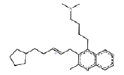 Cc1nc2ccccc2c(CCCCN(C)C)c1C/C=C/CCC1CCCC1